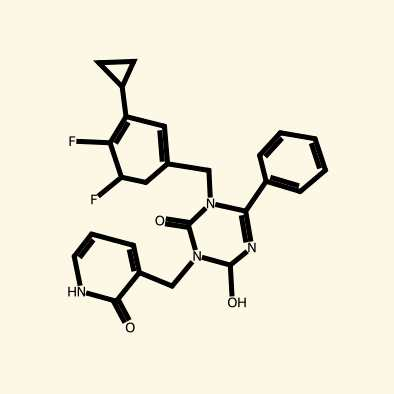 O=C1N(CC2=CC(C3CC3)=C(F)C(F)C2)C(c2ccccc2)=NC(O)N1Cc1ccc[nH]c1=O